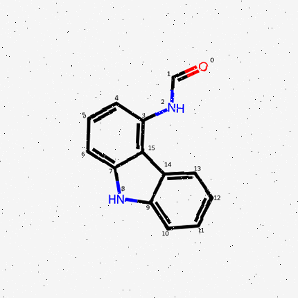 O=CNc1cccc2[nH]c3ccccc3c12